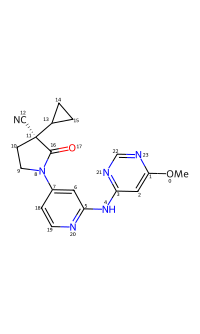 COc1cc(Nc2cc(N3CC[C@@](C#N)(C4CC4)C3=O)ccn2)ncn1